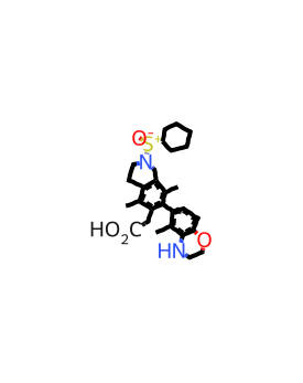 Cc1c2c(c(C)c(-c3ccc4c(c3C)NCCO4)c1CC(=O)O)CN([S+]([O-])C1CCCCC1)CC2